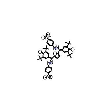 CC(C)(C)C1=CC(=C(/N=N/c2ccc([N+](=O)[O-])cc2)c2ccc(C(/N=N/c3ccc([N+](=O)[O-])cc3)=C3C=C(C(C)(C)C)C(=O)C(C(C)(C)C)=C3)o2)C=C(C(C)(C)C)C1=O